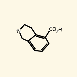 O=C(O)c1cccc2c1CC[N]C2